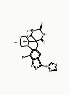 C[C@H]1CN2c3c(cc4c(-n5cncn5)noc4c3F)CC3(C(=O)NC(=O)NC3=O)[C@@H]2[C@@H](C)O1